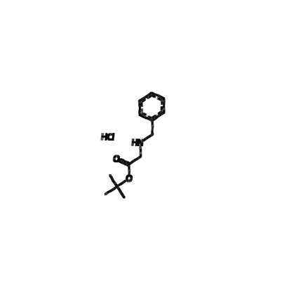 CC(C)(C)OC(=O)CNCc1ccccc1.Cl